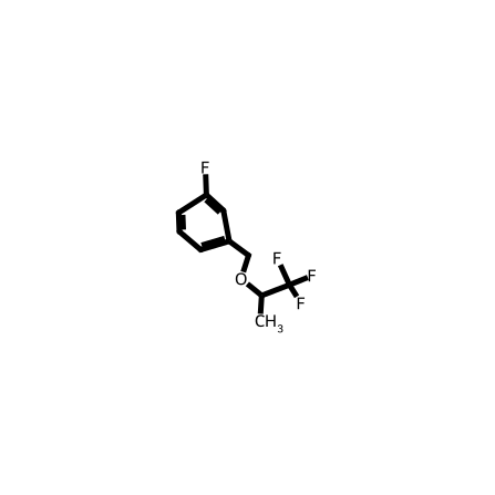 CC(OCc1cccc(F)c1)C(F)(F)F